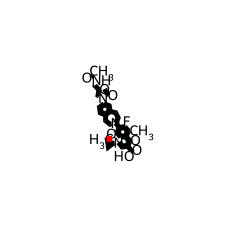 COc1c(N2CCc3ccc(N4CC(CNC(C)=O)OC4=O)cc3CC2)c(F)c(C)c2c(=O)c(C(=O)O)cn(C3CC3)c12